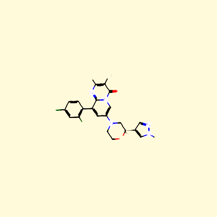 Cc1nc2c(-c3ccc(Cl)cc3F)cc(N3CCO[C@H](c4cnn(C)c4)C3)cn2c(=O)c1C